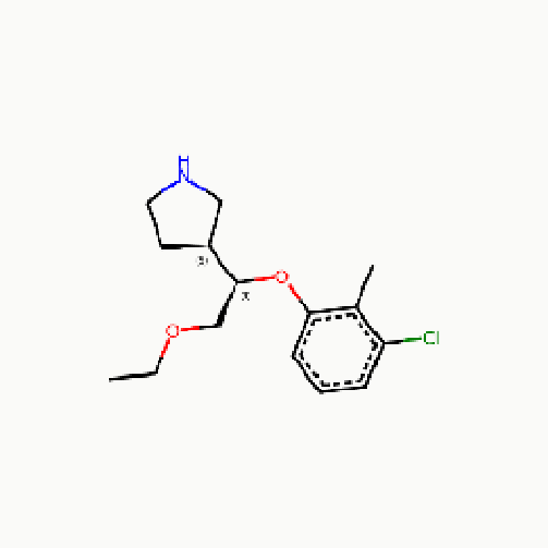 CCOC[C@H](Oc1cccc(Cl)c1C)[C@H]1CCNC1